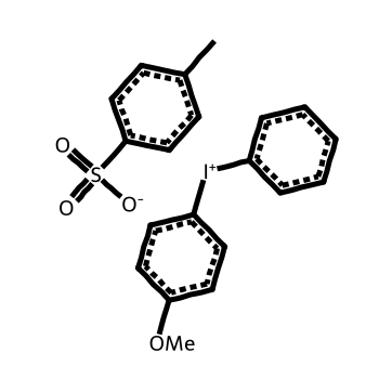 COc1ccc([I+]c2ccccc2)cc1.Cc1ccc(S(=O)(=O)[O-])cc1